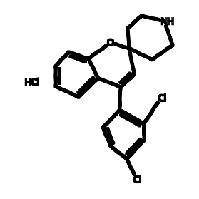 Cl.Clc1ccc(C2=CC3(CCNCC3)Oc3ccccc32)c(Cl)c1